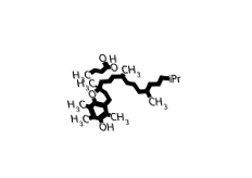 CCCC(=O)O.Cc1c(C)c2c(c(C)c1O)CC[C@@](C)(CCCC(C)CCCC(C)CCCC(C)C)O2